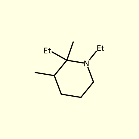 CCN1CCCC(C)C1(C)CC